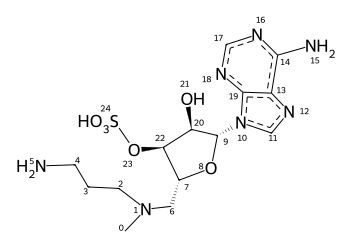 CN(CCCN)C[C@H]1O[C@@H](n2cnc3c(N)ncnc32)[C@H](O)[C@@H]1OS(=O)(=O)O